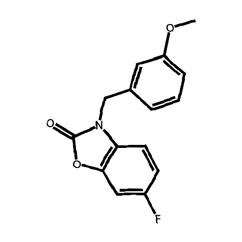 COc1cccc(Cn2c(=O)oc3cc(F)ccc32)c1